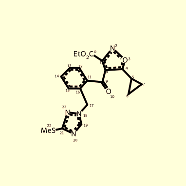 CCOC(=O)c1noc(C2CC2)c1C(=O)c1ccccc1Cn1cnc(SC)n1